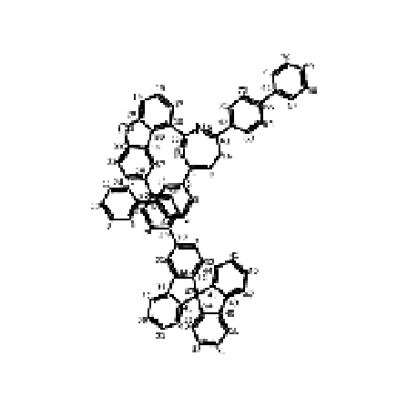 C1=C(c2cccc(-c3ccccc3)c2)N=C(c2cccc3oc4ccc(-c5ccc(-c6ccc7c(c6)-c6ccccc6C76c7ccccc7-c7ccccc76)cc5)cc4c23)N=C(c2ccc(-c3ccccc3)cc2)C1